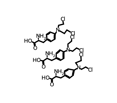 N[C@@H](Cc1ccc(N(CCCl)CCCl)cc1)C(=O)O.N[C@@H](Cc1ccc(N(CCCl)CCCl)cc1)C(=O)O.N[C@@H](Cc1ccc(N(CCCl)CCCl)cc1)C(=O)O